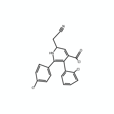 N#CCC1C=C(C(=O)Cl)C(c2ccccc2Cl)=C(c2ccc(Cl)cc2)N1